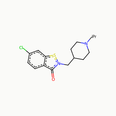 CC(C)N1CCC(Cn2sc3cc(Cl)ccc3c2=O)CC1